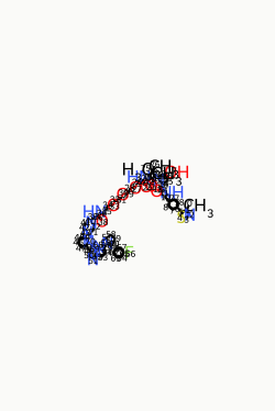 Cc1ncsc1-c1ccc(CNC(=O)[C@@H]2C[C@@H](O)CN2C(=O)[C@@H](NC(=O)COCCOCCOCCNC(=O)CN2CCN(c3cccc(-c4cnc5ccc(N6CCC[C@@H]6c6cccc(F)c6)nn45)n3)CC2)C(C)(C)C)cc1